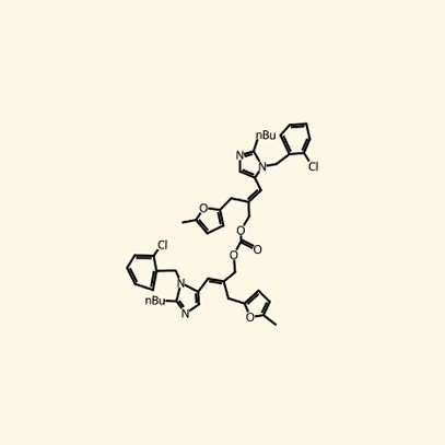 CCCCc1ncc(/C=C(/COC(=O)OC/C(=C/c2cnc(CCCC)n2Cc2ccccc2Cl)Cc2ccc(C)o2)Cc2ccc(C)o2)n1Cc1ccccc1Cl